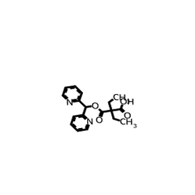 CCC(CC)(C(=O)O)C(=O)OC(c1ccccn1)c1ccccn1